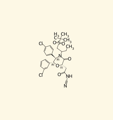 CCC(CS(=O)(=O)C(C)(C)C)N1C(=O)[C@H](CC(=O)NC#N)O[C@H](c2cccc(Cl)c2)[C@H]1c1ccc(Cl)cc1